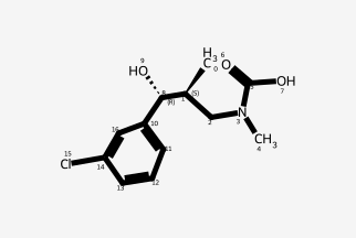 C[C@@H](CN(C)C(=O)O)[C@@H](O)c1cccc(Cl)c1